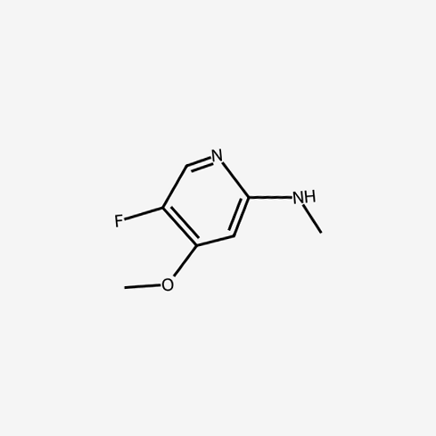 CNc1cc(OC)c(F)cn1